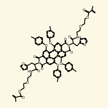 C=C(C)C(=O)OCCOCCNC(=O)C(Cc1ccco1)N1C(=O)c2cc(Oc3ccc(C)cc3)c3c4c(Oc5ccc(C)cc5)cc5c6c(cc(Oc7ccc(C)cc7)c(c7c(Oc8ccc(C)cc8)cc(c2c37)C1=O)c64)C(=O)N(C(Cc1ccco1)C(=O)NCCOCCOC(=O)C(=C)C)C5=O